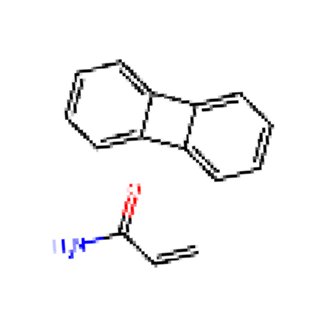 C=CC(N)=O.c1ccc2c(c1)-c1ccccc1-2